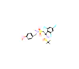 COc1ccc(CN(C)S(=O)(=O)C[C@](C)(N[S@@+]([O-])C(C)(C)C)c2c(F)cc(F)cc2F)cc1